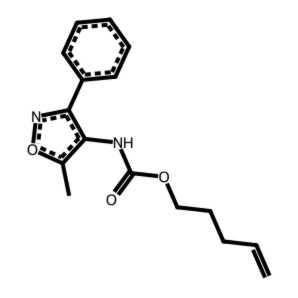 C=CCCCOC(=O)Nc1c(-c2ccccc2)noc1C